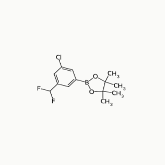 CC1(C)OB(c2cc(Cl)cc(C(F)F)c2)OC1(C)C